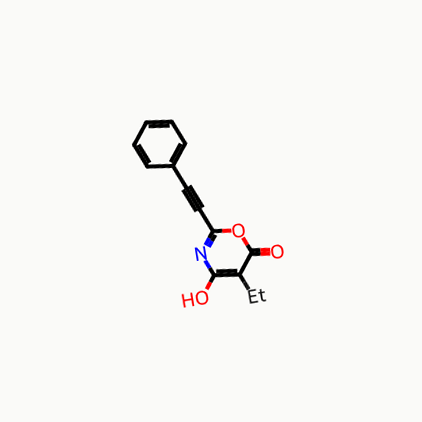 CCc1c(O)nc(C#Cc2ccccc2)oc1=O